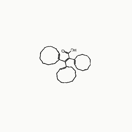 O=C(O)C(=C(C1=C/CCCCCCCC\1)/C1=C/CCCCCCCC1)/C1=C/CCCCCCCC1